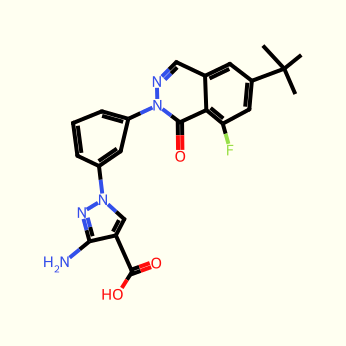 CC(C)(C)c1cc(F)c2c(=O)n(-c3cccc(-n4cc(C(=O)O)c(N)n4)c3)ncc2c1